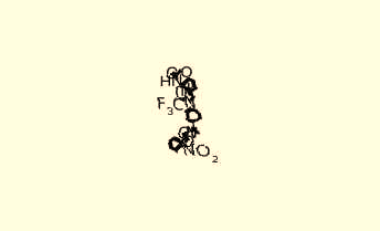 O=C1COc2ccc(CN(C(=O)C(F)(F)F)[C@H]3CC[C@H](C4CN4S(=O)(=O)c4ccccc4[N+](=O)[O-])CC3)nc2N1